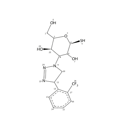 OCC1O[C@@H](S)C(O)C(N2CC(c3ccccc3C(F)(F)F)N=N2)[C@H]1O